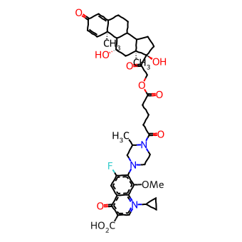 COc1c(N2CCN(C(=O)CCCC(=O)OCC(=O)[C@@]3(O)CCC4C5CCC6=CC(=O)C=C[C@]6(C)C5[C@@H](O)C[C@@]43C)C(C)C2)c(F)cc2c(=O)c(C(=O)O)cn(C3CC3)c12